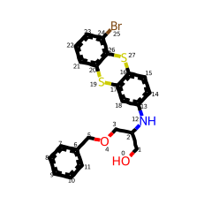 OCC(COCc1ccccc1)Nc1ccc2c(c1)Sc1cccc(Br)c1S2